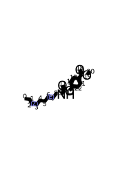 CC/C=C\CC/C=C/CNC(=O)Oc1ccc(C(=O)OC)cc1